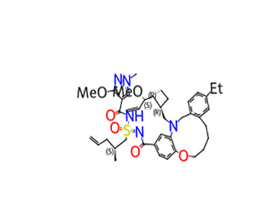 C=CC[C@H](C)CS(=O)(=NC(=O)c1ccc2c(c1)N(C[C@@H]1CC[C@H]1[C@H](C=C)OC)Cc1ccc(CC)cc1CCCCO2)NC(=O)c1cn(C)nc1OC